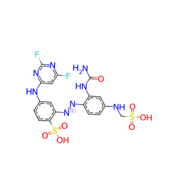 NC(=O)Nc1cc(NCS(=O)(=O)O)ccc1/N=N/c1cc(Nc2cc(F)nc(F)n2)ccc1S(=O)(=O)O